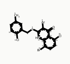 CC(=O)c1c(SCc2cc(C)ccc2Cl)[nH]c2c(Br)ccc(Cl)c2c1=O